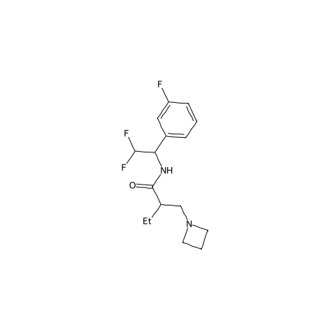 CCC(CN1CCC1)C(=O)NC(c1cccc(F)c1)C(F)F